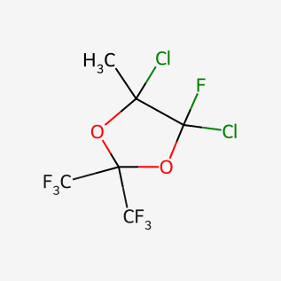 CC1(Cl)OC(C(F)(F)F)(C(F)(F)F)OC1(F)Cl